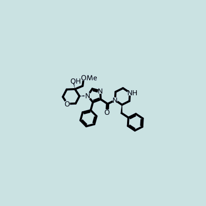 COC[C@]1(O)CCOC[C@H]1n1cnc(C(=O)N2CCNC[C@H]2Cc2ccccc2)c1-c1ccccc1